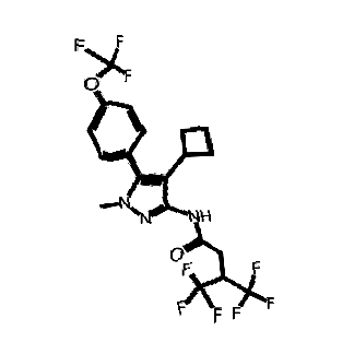 Cn1nc(NC(=O)CC(C(F)(F)F)C(F)(F)F)c(C2CCC2)c1-c1ccc(OC(F)(F)F)cc1